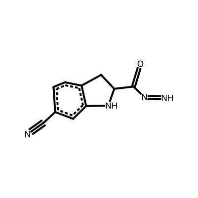 N#Cc1ccc2c(c1)NC(C(=O)N=N)C2